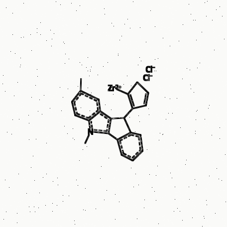 Cc1ccc2c(c1)c1c(n2C)-c2ccccc2C1C1=[C]([Zr+2])CC=C1.[Cl-].[Cl-]